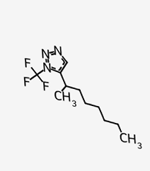 CCCCCCC(C)c1cnnn1C(F)(F)F